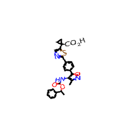 Cc1noc(-c2ccc(-c3ncc(C4(C(=O)O)CC4)s3)cc2)c1NC(=O)OC(C)c1ccccc1